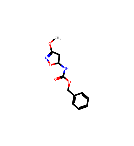 COC1=NOC(NC(=O)OCc2ccccc2)C1